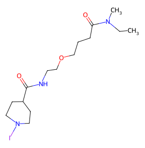 CCN(C)C(=O)CCCOCCNC(=O)C1CCN(I)CC1